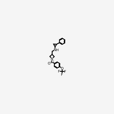 [O-][S+](c1ccc(OC(F)(F)F)cc1)N1CC(CNC2CC2c2ccccc2)C1